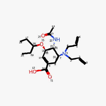 C=CCN(CC=C)[C@H]1CC(C(=O)O)=C[C@@H](OC(CC)CC)[C@@H]1NC(C)=O